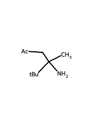 CC(=O)CC(C)(N)C(C)(C)C